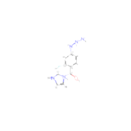 [N-]=[N+]=Nc1ccc(C(=O)n2ccnc2)c(F)c1